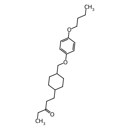 CCCCOc1ccc(OCC2CCC(CCC(=O)CC)CC2)cc1